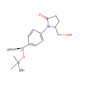 CCCCC[C@H](O[Si](C)(C)C(C)(C)C)c1ccc(N2C(=O)CCC2CO)cc1